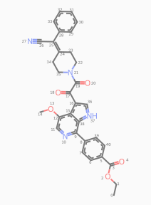 CCOC(=O)c1ccc(-c2ncc(OC)c3c(C(=O)C(=O)N4CCC(=C(C#N)c5ccccc5)CC4)c[nH]c23)cc1